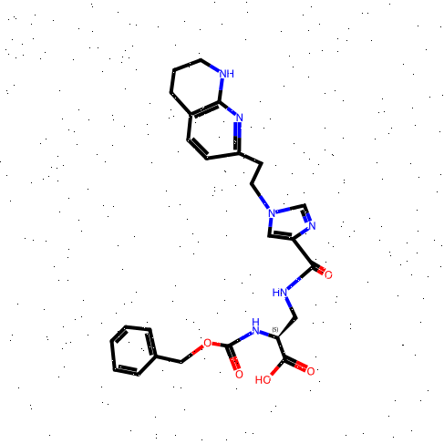 O=C(N[C@@H](CNC(=O)c1cn(CCc2ccc3c(n2)NCCC3)cn1)C(=O)O)OCc1ccccc1